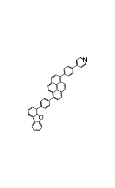 c1ccc2c(c1)oc1c(-c3ccc(-c4ccc5ccc6c(-c7ccc(-c8ccncc8)cc7)ccc7ccc4c5c76)cc3)cccc12